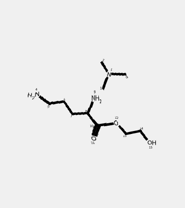 CN(C)C.NCCCC(N)C(=O)OCCO